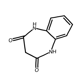 O=C1CC(=O)Nc2ccccc2N1